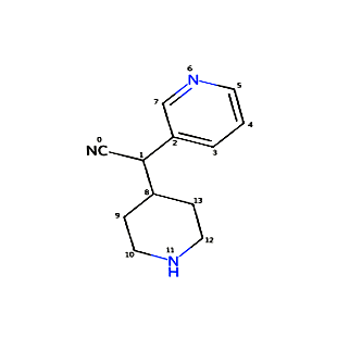 N#CC(c1cccnc1)C1CCNCC1